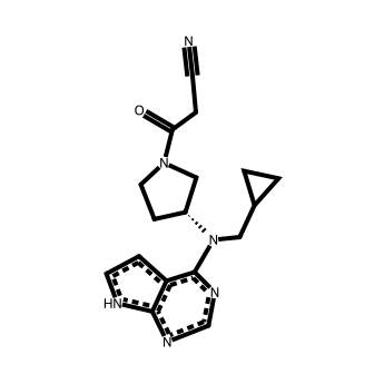 N#CCC(=O)N1CC[C@@H](N(CC2CC2)c2ncnc3[nH]ccc23)C1